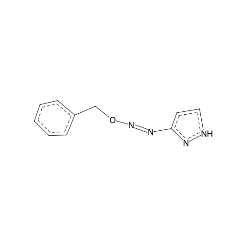 c1ccc(CON=Nc2cc[nH]n2)cc1